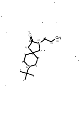 CC(C)(C)N1CCC2(CC1)CC(=O)N(CCO)C2